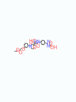 CCOC(=O)COc1cccc(N2CCO[C@H]([C@@H](O)C(=O)Nc3ccc(-c4noc(O)n4)cc3)C2=O)c1